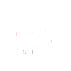 O=P(O)(O)O.[Cd].[NaH]